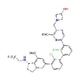 CCOC(=O)CN[C@H]1CCc2cc(-c3cccc(-c4cccc(-c5cnc(CN6CC(O)C6)c(OC)n5)c4Cl)c3Cl)cc(OC)c21